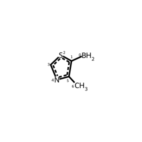 Bc1scnc1C